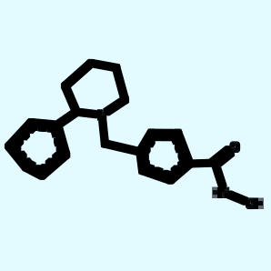 O=C(NO)c1ccc(CN2CCCCC2c2ccccc2)cc1